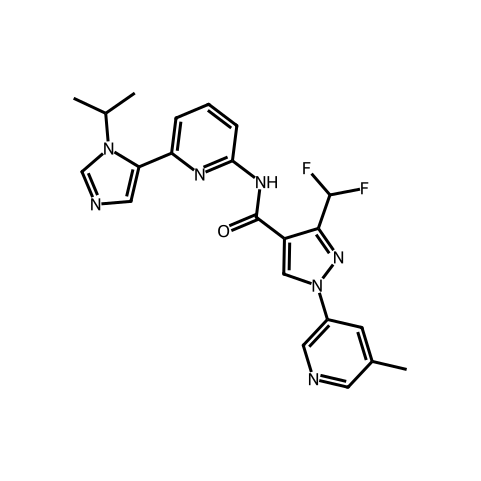 Cc1cncc(-n2cc(C(=O)Nc3cccc(-c4cncn4C(C)C)n3)c(C(F)F)n2)c1